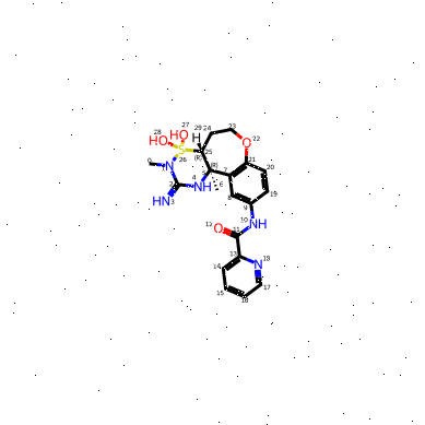 CN1C(=N)N[C@]2(C)c3cc(NC(=O)c4ccccn4)ccc3OCC[C@H]2S1(O)O